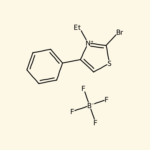 CC[n+]1c(-c2ccccc2)csc1Br.F[B-](F)(F)F